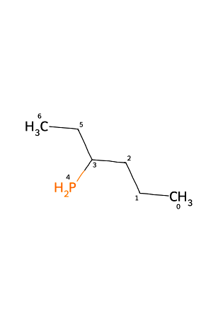 CCCC(P)CC